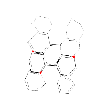 c1ccc(P(c2ccccc2)c2ccc3c(c2[C@H]2C4=C(CC[C@H]2P(c2ccccc2)c2ccccc2)OCCO4)OCCO3)cc1